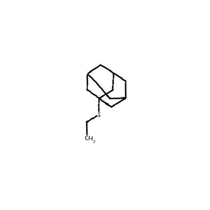 CCSC12CC3CC(CC(C3)C1)C2